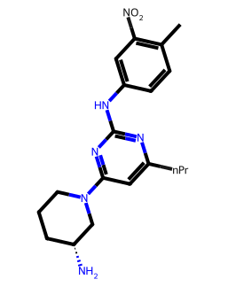 CCCc1cc(N2CCC[C@@H](N)C2)nc(Nc2ccc(C)c([N+](=O)[O-])c2)n1